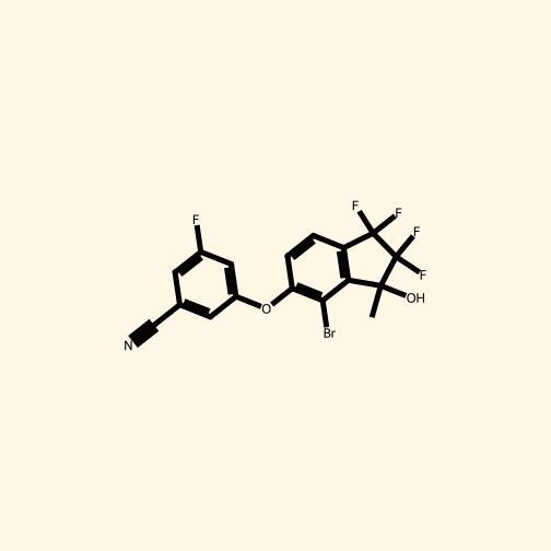 CC1(O)c2c(ccc(Oc3cc(F)cc(C#N)c3)c2Br)C(F)(F)C1(F)F